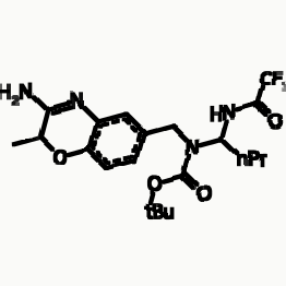 CCCC(NC(=O)C(F)(F)F)N(Cc1ccc2c(c1)N=C(N)C(C)O2)C(=O)OC(C)(C)C